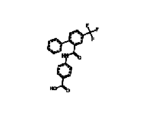 O=C(O)c1ccc(NC(=O)c2cc(C(F)(F)F)ccc2-c2ccccc2)cc1